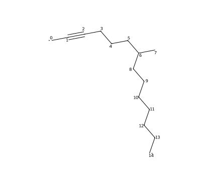 [CH2]C#CCCCC(C)CCCCCC[CH2]